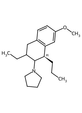 CCC[C@@H]1c2cc(OC)ccc2CC(CC)C1N1CCCC1